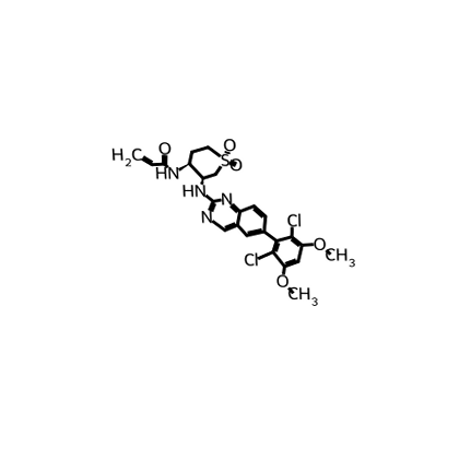 C=CC(=O)N[C@H]1CCS(=O)(=O)C[C@H]1Nc1ncc2cc(-c3c(Cl)c(OC)cc(OC)c3Cl)ccc2n1